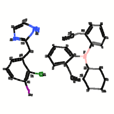 COc1ccccc1B(c1ccccc1OC)C1CCCCC1.Clc1c(I)cccc1Cc1ncc[nH]1